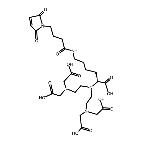 O=C(O)CN(CCN(CCN(CC(=O)O)CC(=O)O)[C@@H](CCCCNC(=O)CCCN1C(=O)C=CC1=O)C(=O)O)CC(=O)O